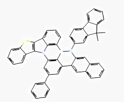 CC1(C)c2ccccc2-c2ccc(N3B4c5c(cc(-c6ccccc6)cc5-n5c6c4cccc6c4sc6ccccc6c45)-c4cc5ccccc5cc43)cc21